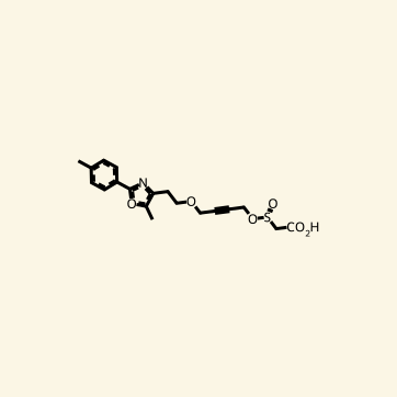 Cc1ccc(-c2nc(CCOCC#CCOS(=O)CC(=O)O)c(C)o2)cc1